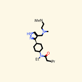 CCN(C(=O)CC(C)C)[C@H]1CC[C@@H](c2n[nH]cc2CN(C)CCNC)CC1